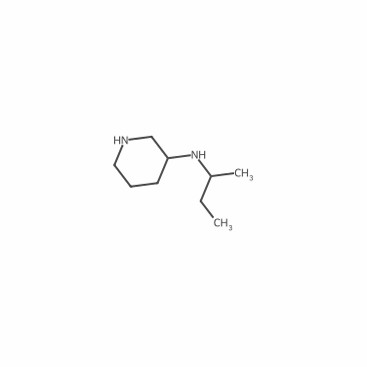 CCC(C)NC1CCCNC1